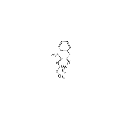 C/N=C(Cc1ccccc1)\C(N)=N/C(C)OC